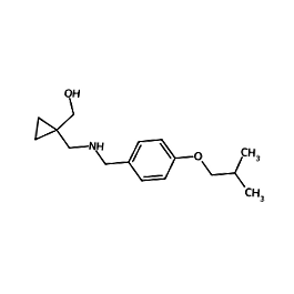 CC(C)COc1ccc(CNCC2(CO)CC2)cc1